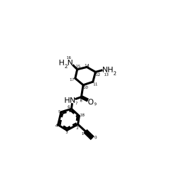 C#Cc1cccc(NC(=O)C2CC(N)CC(N)C2)c1